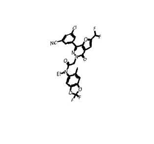 CCN(C(=O)Cn1nc(-c2cc(Cl)cc(C#N)c2)c2oc(C(F)F)cc2c1=O)c1cc2c(cc1C)OC(F)(F)O2